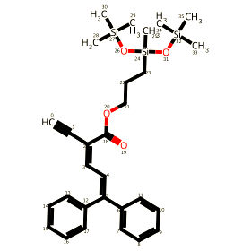 C#C/C(=C/C=C(c1ccccc1)c1ccccc1)C(=O)OCCC[Si](C)(O[Si](C)(C)C)O[Si](C)(C)C